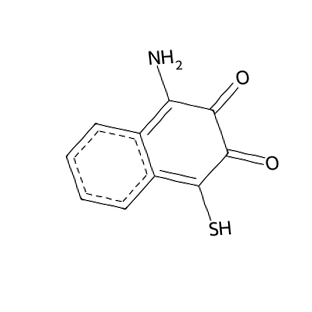 NC1=c2ccccc2=C(S)C(=O)C1=O